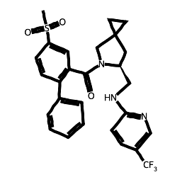 CS(=O)(=O)c1ccc(-c2ccccc2)c(C(=O)N2CC3(CC3)C[C@H]2CNc2ccc(C(F)(F)F)cn2)c1